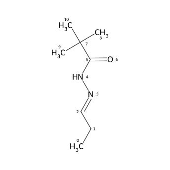 CC/C=N/NC(=O)C(C)(C)C